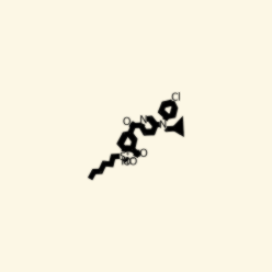 CCCCCC[S+]([O-])c1ccc(C(=O)c2ccc(N(CC3CC3)c3ccc(Cl)cc3)cn2)cc1C(=O)O